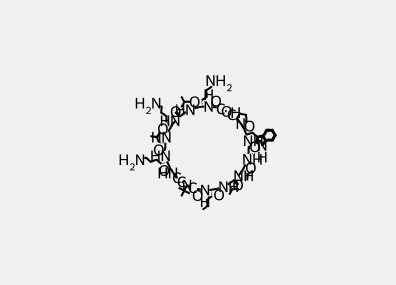 CCCC[C@@H]1NC(=O)CN(C(C)(C)C)CCNC(=O)[C@H](CCCCN)NC(=O)[C@H](CC(C)C)NC(=O)[C@H](CCCCN)NC(=O)[C@H](CC(C)C)NC(=O)[C@H](CCCCN)NC(=O)COC[C@H]2CCCN2C(=O)C(Cc2c[nH]c3ccccc23)NC(=O)[C@H](C)NC(=O)[C@H](C(C)C)NC(=O)[C@H](C(C)C)NC1=O